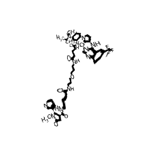 CC(C)N(C)[C@@H]1CC[C@H](N2CC[C@H](Nc3ncnc4ccc(C(F)(F)F)cc34)C2=O)[C@H](NC(=O)CCCC(=O)NCCCOCCCNC(=O)CCCNC(=O)[C@H]2CC(=O)N(C)[C@@H]2c2cccnc2)C1